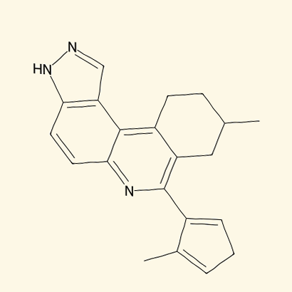 CC1=CCC=C1c1nc2ccc3[nH]ncc3c2c2c1CC(C)CC2